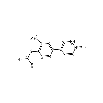 COc1cc(-c2cc[n+](=O)[nH]c2)ccc1OC(F)F